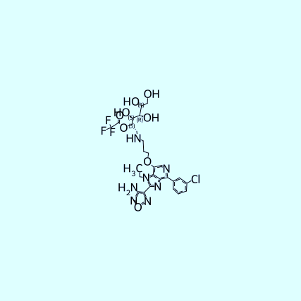 CCn1c(-c2nonc2N)nc2c(-c3cccc(Cl)c3)ncc(OCCCNC[C@H](OC(=O)C(F)(F)F)[C@@H](O)[C@H](O)[C@H](O)CO)c21